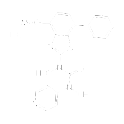 COc1ccc(-c2ccccc2)c2sc(N(C)C(=O)N(C)c3ccncc3)nc12.Cl